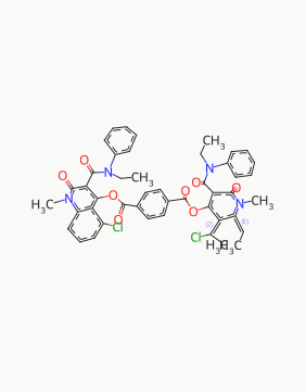 C/C=c1\c(=C(/C)Cl)c(OC(=O)c2ccc(C(=O)Oc3c(C(=O)N(CC)c4ccccc4)c(=O)n(C)c4cccc(Cl)c34)cc2)c(C(=O)N(CC)c2ccccc2)c(=O)n1C